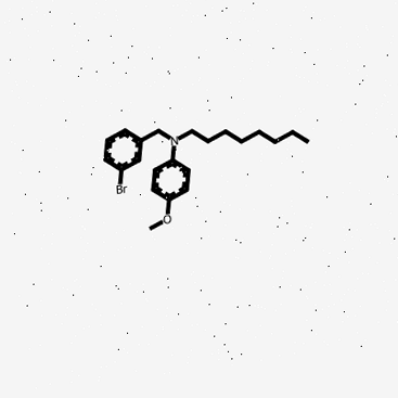 CCCCCCCCN(Cc1cccc(Br)c1)c1ccc(OC)cc1